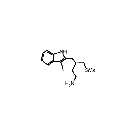 CSC[C](CCN)Cc1[nH]c2ccccc2c1C